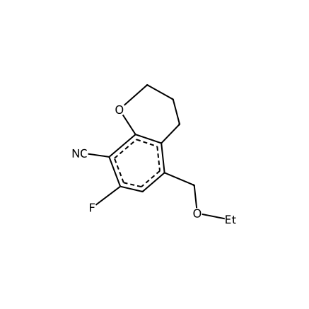 CCOCc1cc(F)c(C#N)c2c1CCCO2